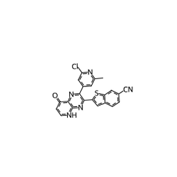 Cc1cc(-c2nc3c(=O)cc[nH]c3nc2-c2cc3ccc(C#N)cc3s2)cc(Cl)n1